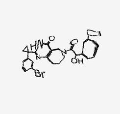 O=C([C@H](O)c1cccc(Cl)c1)N1CCCc2nc(C3(c4cccc(Br)c4)CC3)[nH]c(=O)c2C1